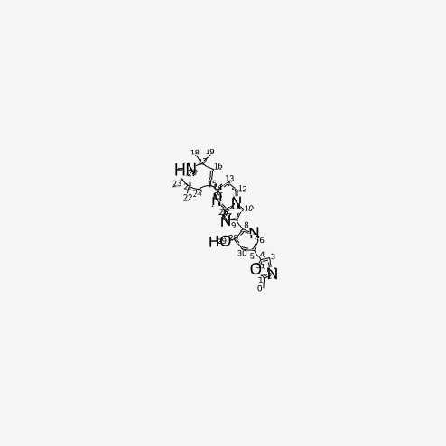 Cc1ncc(-c2cnc(-c3cn4ccc(C5=CC(C)(C)NC(C)(C)C5)nc4n3)c(O)c2)o1